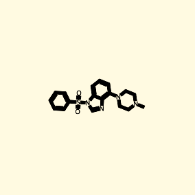 CN1CCN(c2cccc3c2ncn3S(=O)(=O)c2ccccc2)CC1